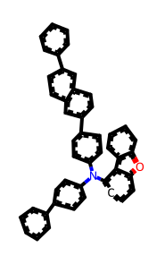 c1ccc(-c2ccc(N(c3ccc(-c4ccc5cc(-c6ccccc6)ccc5c4)cc3)c3cccc4oc5ccccc5c34)cc2)cc1